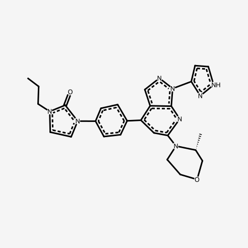 CCCn1ccn(-c2ccc(-c3cc(N4CCOC[C@H]4C)nc4c3cnn4-c3cc[nH]n3)cc2)c1=O